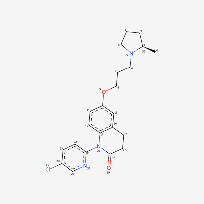 C[C@@H]1CCCN1CCCOc1ccc2c(c1)CCC(=O)N2c1ccc(Cl)cn1